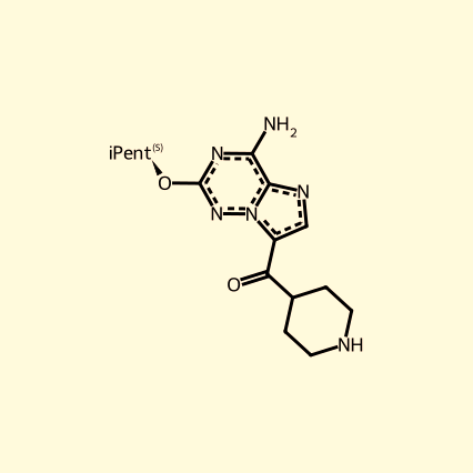 CCC[C@H](C)Oc1nc(N)c2ncc(C(=O)C3CCNCC3)n2n1